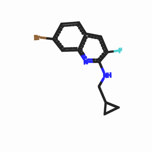 Fc1cc2ccc(Br)cc2nc1NCC1CC1